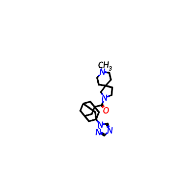 CN1CCC2(CC1)CCN(C(=O)C13CC4CC(C1)CC(n1cncn1)(C4)C3)C2